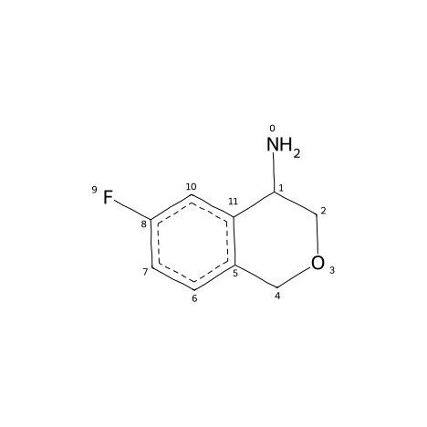 NC1COCc2ccc(F)cc21